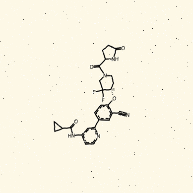 N#Cc1cc(-c2cc(NC(=O)C3CC3)ccn2)ccc1O[C@H]1CCN(C(=O)C2CCC(=O)N2)CC1(F)F